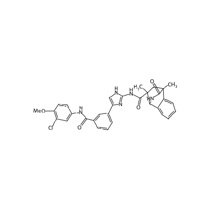 COc1ccc(NC(=O)c2cccc(-c3c[nH]c(NC(=O)C4(C)CC5(C)C(=O)NC4c4ccccc45)n3)c2)cc1Cl